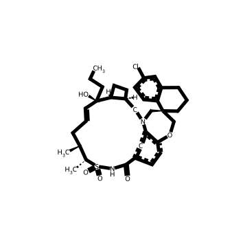 CCC[C@@]1(O)/C=C/C[C@H](C)[C@@H](C)S(=O)(=O)NC(=O)c2ccc3c(c2)N(C[C@@H]2CC[C@H]21)C[C@@]1(CCCc2cc(Cl)ccc21)CO3